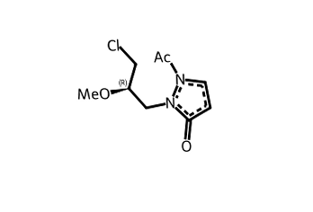 CO[C@@H](CCl)Cn1c(=O)ccn1C(C)=O